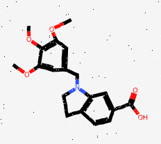 COc1cc(CN2CCc3ccc(C(=O)O)cc32)cc(OC)c1OC